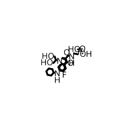 O=C(NCCP(=O)(O)O)c1cn(C(CO)CO)c2cc(NC3CCCCC3)c(F)cc2c1=O